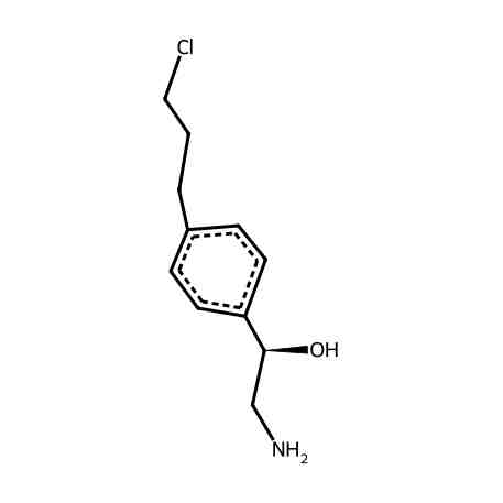 NC[C@H](O)c1ccc(CCCCl)cc1